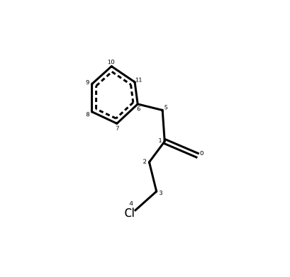 C=C(CCCl)Cc1ccccc1